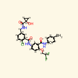 Bc1ccc(NC(=O)c2cc(NC(=O)c3cc(CNC(=O)C4(O)CC4)ccc3Cl)ccc2OCC(F)F)cc1